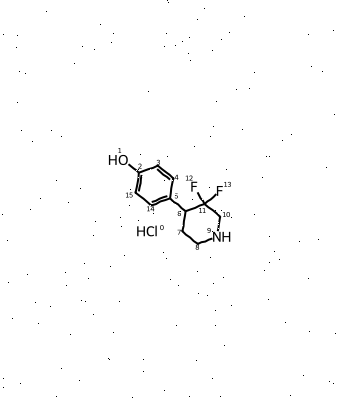 Cl.Oc1ccc(C2CCNCC2(F)F)cc1